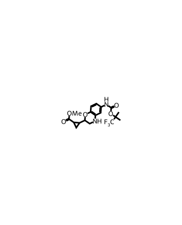 COC(=O)C1CC1C1CNc2cc(NC(=O)OC(C)(C)C(F)(F)F)ccc2O1